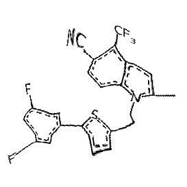 Cc1cc2c(C(F)(F)F)c(C#N)ccc2n1Cc1ccc(-c2cc(F)cc(F)c2)s1